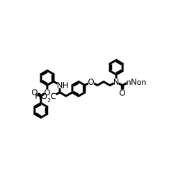 CCCCCCCCCC(=O)N(CCCOc1ccc(CC(Nc2ccccc2OC(=O)c2ccccc2)C(=O)O)cc1)c1ccccc1